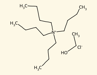 CCCC[N+](CCCC)(CCCC)CCCC.CCO.[Cl-]